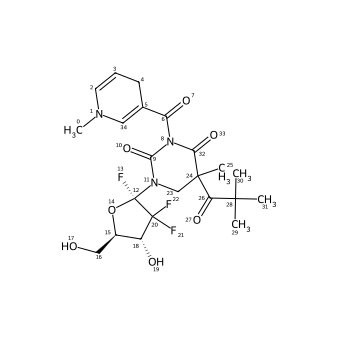 CN1C=CCC(C(=O)N2C(=O)N([C@]3(F)O[C@H](CO)[C@@H](O)C3(F)F)CC(C)(C(=O)C(C)(C)C)C2=O)=C1